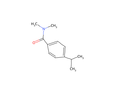 CC(C)c1ccc(C(=O)N(C)C)cc1